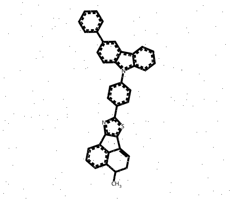 CC1CC=C2c3sc(-c4ccc(-n5c6ccccc6c6cc(-c7ccccc7)ccc65)cc4)nc3-c3cccc1c32